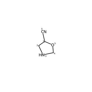 N#C[C]1CNCO1